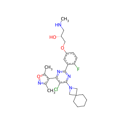 CNC[C@@H](O)COc1ccc(F)c(-c2nc(-c3c(C)noc3C)c(Cl)c(N3CC4(CCCCC4)C3)n2)c1